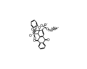 O=C1C2=C(C(=O)c3ccccc31)C(S(=O)(=O)[O-])C(Oc1ccccc1)(S(=O)(=O)[O-])C(S(=O)(=O)[O-])=C2.[Na+].[Na+].[Na+]